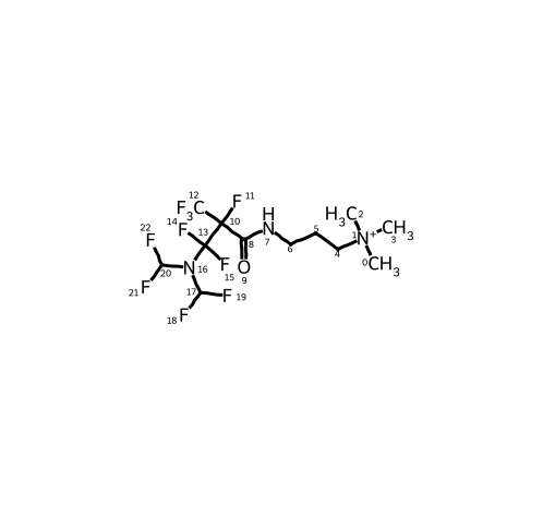 C[N+](C)(C)CCCNC(=O)C(F)(C(F)(F)F)C(F)(F)N(C(F)F)C(F)F